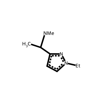 [CH2-][NH2+]C(C)c1ccn(CC)n1